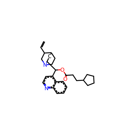 C=CC1CN2CCC1CC2C(OC(=O)CCC1CCCC1)c1ccnc2ccccc12